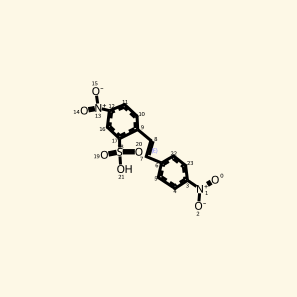 O=[N+]([O-])c1ccc(/C=C/c2ccc([N+](=O)[O-])cc2S(=O)(=O)O)cc1